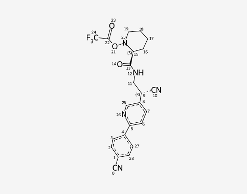 N#Cc1ccc(-c2ccc([C@@H](C#N)CNC(=O)[C@@H]3CCCCN3OC(=O)C(F)(F)F)cn2)cc1